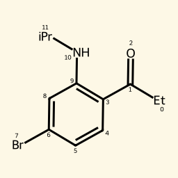 CCC(=O)c1ccc(Br)cc1NC(C)C